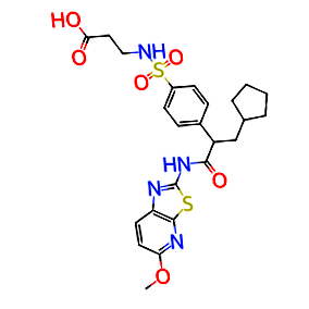 COc1ccc2nc(NC(=O)C(CC3CCCC3)c3ccc(S(=O)(=O)NCCC(=O)O)cc3)sc2n1